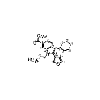 COC(=O)c1ccc2c(C3CCCCC3)c(-c3ccoc3)n(CCC(=O)O)c2c1